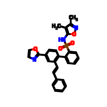 Cc1noc(NS(=O)(=O)c2ccccc2-c2ccc(-c3ncco3)cc2C=Cc2ccccc2)c1C